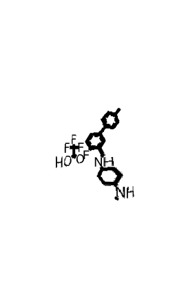 CNC1CCC(NCc2cc(-c3ccc(C)cc3)ccc2F)CC1.O=C(O)C(F)(F)F